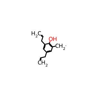 [CH2]c1cc(CC=C)cc(CC=C)c1O